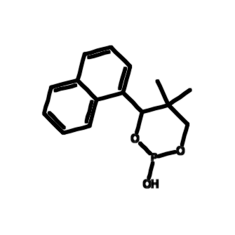 CC1(C)COP(O)OC1c1cccc2ccccc12